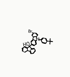 CC(C)(C)c1ccc(-n2c3ccc(Br)cc3c3cc(C4(O)c5ccccc5-c5ccccc54)ccc32)cc1